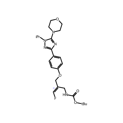 CC(C)n1nc(-c2ccc(OC/C(=C/F)CNC(=O)OC(C)(C)C)cc2)nc1N1CCOCC1